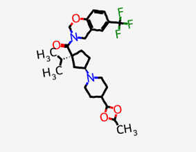 CC1OC(C2CCN([C@@H]3CC[C@@](C(=O)N4COc5ccc(C(F)(F)F)cc5C4)(C(C)C)C3)CC2)O1